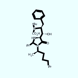 CC(C)CCC[C@@H](C)N1C(=O)[C@H]([C@@H](O)[C@H](Cc2ccccc2)N(C(=O)O)C(C)(C)C)NC1C(C)C